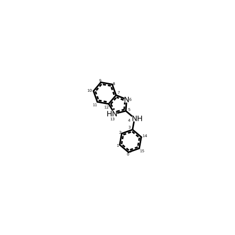 [c]1ccc(Nc2nc3ccccc3[nH]2)cc1